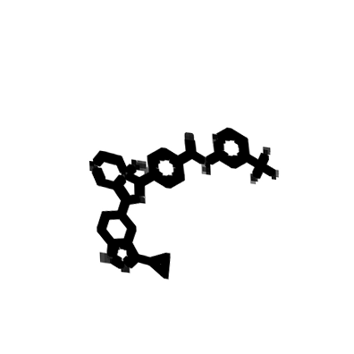 N[N+]12C=CN=CC1=C(C1CCc3[nH]nc(C4CC4)c3C1)N=C2c1ccc(C(=O)Nc2cc(C(F)(F)F)ccn2)cc1